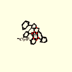 COc1ccc(-c2c(-c3ccccc3)cccc2-c2ccccc2)c(OC)c1Pc1cccc(-c2c3ccccc3cc3ccccc23)c1O